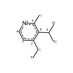 CCc1ccnc(C)c1C(C)C